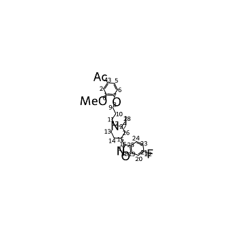 COc1cc(C(C)=O)ccc1OCCCN1CCC(c2noc3cc(F)ccc23)CC1I